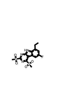 CCc1cc(F)cc2c1[nH]c1nc(S(C)(=O)=O)nc(S(C)(=O)=O)c12